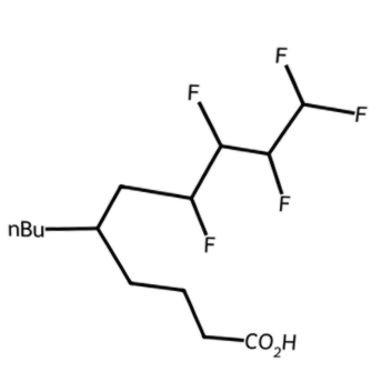 CCCCC(CCCC(=O)O)CC(F)C(F)C(F)C(F)F